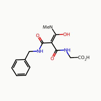 CN/C(O)=C(/C(=O)NCC(=O)O)C(=O)NCc1ccccc1